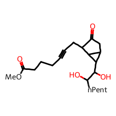 CCCCCC(O)C(O)C1C2CC(=O)C(CC#CCCCC(=O)OC)C21